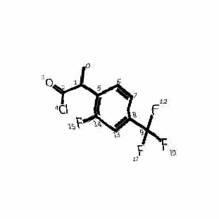 CC(C(=O)Cl)c1ccc(C(F)(F)F)cc1F